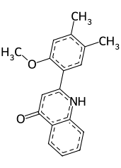 COc1cc(C)c(C)cc1-c1cc(=O)c2ccccc2[nH]1